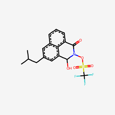 CC(C)Cc1cc2c3c(cccc3c1)C(=O)N(OS(=O)(=O)C(F)(F)F)C2O